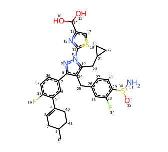 CC1CC=C(c2cc(-c3nn(-c4nc(C(O)O)cs4)c(CC4CC4)c3Cc3ccc([S+](N)[O-])c(F)c3)ccc2F)CC1